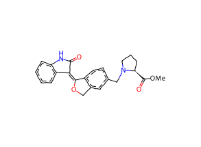 COC(=O)[C@@H]1CCCN1Cc1ccc2c(c1)COC2=C1C(=O)Nc2ccccc21